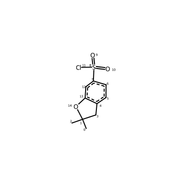 CC1(C)Cc2ccc(S(=O)(=O)Cl)cc2O1